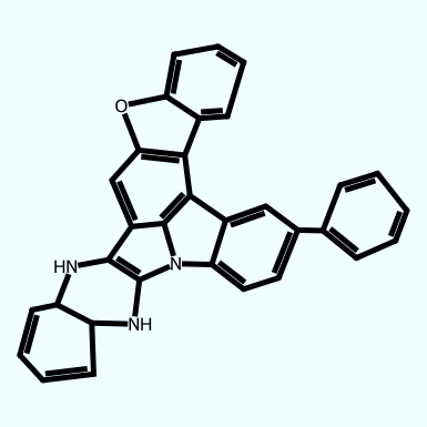 C1=CC2Nc3c(n4c5ccc(-c6ccccc6)cc5c5c6c(cc3c54)oc3ccccc36)NC2C=C1